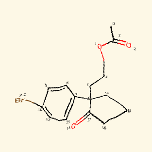 CC(=O)OCCC1(c2ccc(Br)cc2)CCCC1=O